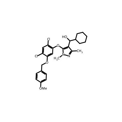 COc1ccc(COc2cc(Oc3c(C(O)C4CCCCC4)c(C)nn3C)c(Cl)cc2Cl)cc1